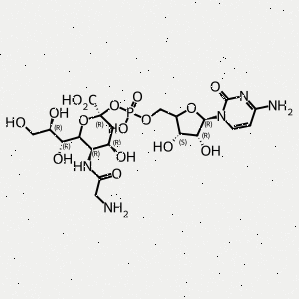 NCC(=O)N[C@H]1C([C@H](O)[C@H](O)CO)O[C@](OP(=O)(O)OCC2O[C@@H](n3ccc(N)nc3=O)[C@H](O)[C@@H]2O)(C(=O)O)C[C@H]1O